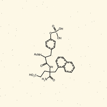 CC(=O)NC(Cc1ccc(OP(=O)(O)O)cc1)C(=O)NC(CCC(=O)O)(Cc1cccc2ccccc12)C(N)=O